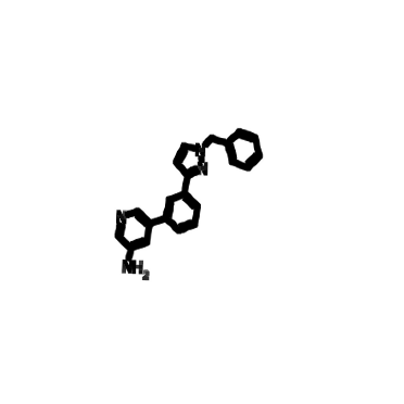 Nc1cncc(-c2cccc(-c3ccn(Cc4ccccc4)n3)c2)c1